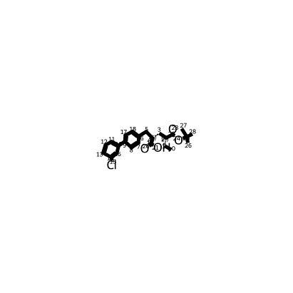 CC[C@H](C[C@@H](Cc1ccc(-c2cccc(Cl)c2)cc1)C(=O)O)C(=O)OC(C)(C)C